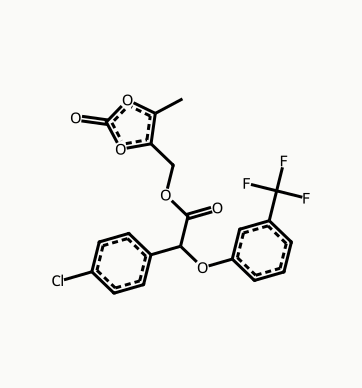 Cc1oc(=O)oc1COC(=O)C(Oc1cccc(C(F)(F)F)c1)c1ccc(Cl)cc1